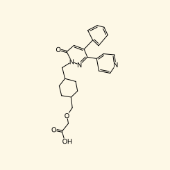 O=C(O)COCC1CCC(Cn2nc(-c3ccncc3)c(-c3ccccc3)cc2=O)CC1